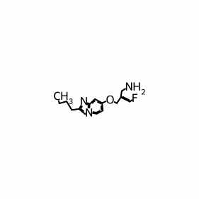 CCCCc1cn2ccc(OC/C(=C/F)CN)cc2n1